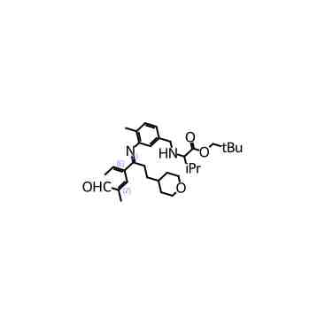 C/C=C(\C=C(\C)C=O)C(/CCC1CCOCC1)=N/c1cc(CNC(C(=O)OCC(C)(C)C)C(C)C)ccc1C